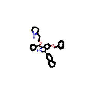 c1ccc(COc2ccc3c(c2)[C@@H](c2ccc4ccccc4c2)CNC3C(OCCC2CCCCN2)c2ccccc2)cc1